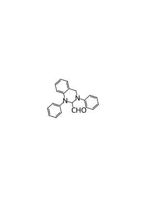 O=CC1N(c2ccccc2)Cc2ccccc2N1c1ccccc1